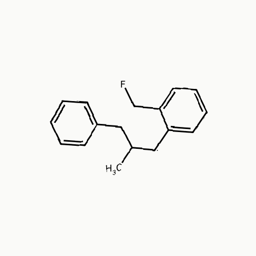 CC([CH]c1ccccc1CF)Cc1ccccc1